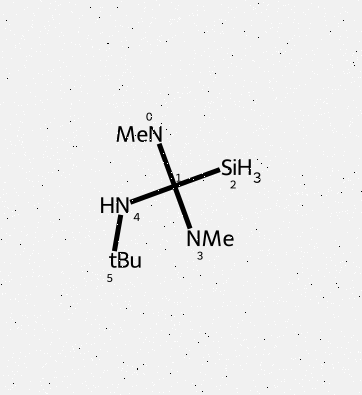 CNC([SiH3])(NC)NC(C)(C)C